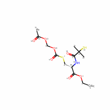 CC(=O)OCOC(=O)[C@H](CSC(=O)OCOC(=O)C(C)C)NC(=O)C(C)(C)S